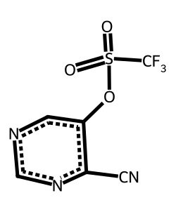 N#Cc1ncncc1OS(=O)(=O)C(F)(F)F